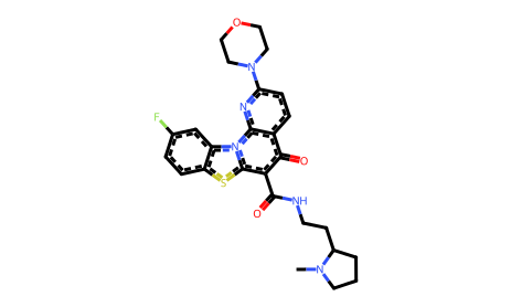 CN1CCCC1CCNC(=O)c1c(=O)c2ccc(N3CCOCC3)nc2n2c1sc1ccc(F)cc12